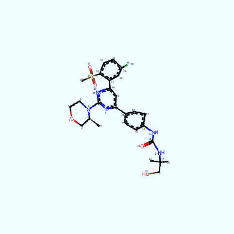 C[C@H]1COCCN1c1nc(-c2ccc(NC(=O)NC(C)(C)CO)cc2)cc(-c2cc(F)ccc2S(C)(=O)=O)n1